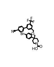 N#Cc1ccc(-c2cc(COCC3(c4ccc(Br)cc4)CCN(C(=O)O)CC3)cc(C(F)(F)F)c2)cc1